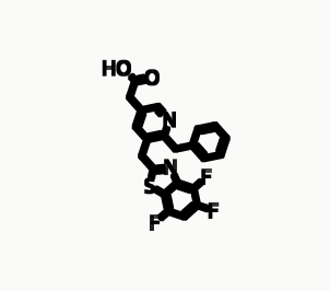 O=C(O)Cc1cnc(Cc2ccccc2)c(Cc2nc3c(F)c(F)cc(F)c3s2)c1